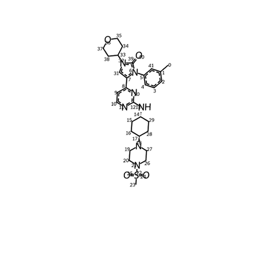 Cc1cccc(-n2c(-c3ccnc(N[C@H]4CC[C@H](N5CCN(S(C)(=O)=O)CC5)CC4)n3)cn(C3CCOCC3)c2=O)c1